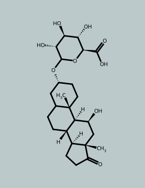 C[C@]12CC[C@@H](OC3O[C@H](C(=O)O)[C@@H](O)[C@H](O)[C@H]3O)CC1CC[C@@H]1[C@@H]2[C@@H](O)C[C@]2(C)C(=O)CC[C@@H]12